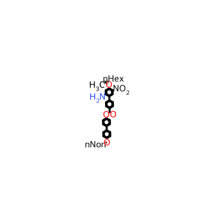 CCCCCCCCCOc1ccc(-c2ccc(OC(=O)c3ccc(-c4cc([N+](=O)[O-])c(O[C@H](C)CCCCCC)cc4N)cc3)cc2)cc1